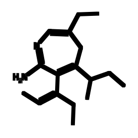 C/C=C(/CC)C1=C(C(C)CC)CC(CC)=CN=C1N